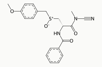 COc1ccc(C[S+]([O-])C[C@@H](NC(=O)c2ccccc2)C(=O)N(C)C#N)cc1